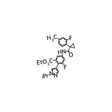 CCOC(=O)c1cc(NC(=O)C2(c3ccc(C)cc3F)CC2)cc(F)c1-c1cnn(C(C)C)c1